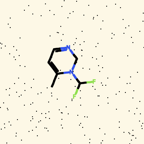 CC1=CC=NCN1C(F)F